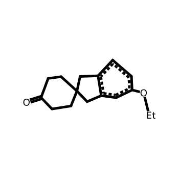 CCOc1ccc2c(c1)CC1(CCC(=O)CC1)C2